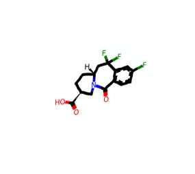 O=C(O)[C@H]1CC[C@@H]2CC(F)(F)c3cc(F)ccc3C(=O)N2C1